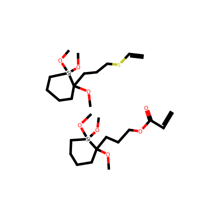 C=CC(=O)OCCCC1(OC)CCCC[Si]1(OC)OC.C=CSCCCC1(OC)CCCC[Si]1(OC)OC